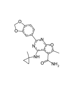 Cc1oc2nc(-c3ccc4c(c3)OCO4)nc(NC3(C)CC3)c2c1C(N)=O